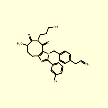 C=CCc1ccc(Cn2c(-c3cccc(C(C)C)c3)nc3c2C(=O)N(CCCO)C(=O)C(C)CC3)cc1